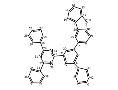 c1ccc(-c2cc(-c3ccc4sc5ccccc5c4c3)cc(-c3nc(-c4ccccc4)nc(-c4ccccc4)n3)c2)cc1